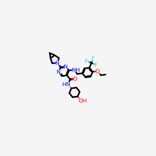 CCOc1ccc(CNc2nc(N3CC4CC4C3)ncc2C(=O)N[C@H]2CC[C@H](O)CC2)cc1C(F)(F)F